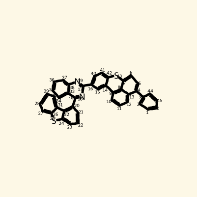 c1ccc(-c2ccc3c4c(cccc24)-c2cc(-c4nc(-c5cccc6sc7ccccc7c56)c5ccccc5n4)ccc2S3)cc1